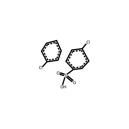 Clc1ccccc1.O=S(=O)(O)c1ccc(Cl)cc1